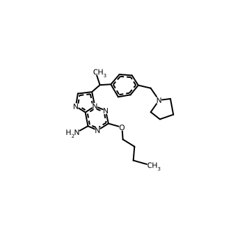 CCCCOc1nc(N)c2ncc(C(C)c3ccc(CN4CCCC4)cc3)n2n1